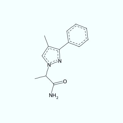 Cc1cn(C(C)C(N)=O)nc1-c1ccccc1